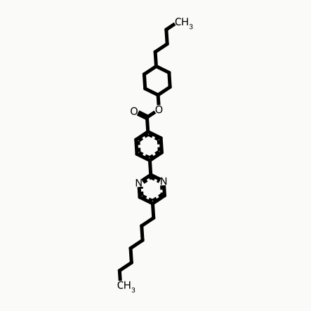 CCCCCCCc1cnc(-c2ccc(C(=O)OC3CCC(CCCC)CC3)cc2)nc1